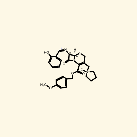 COc1ccc(COC(=O)C2=C(C[N+]3(C)CCCC3)CS[C@@H]3[C@H](/N=C\c4ccccc4O)C(=O)N23)cc1